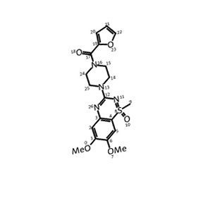 COc1cc2c(cc1OC)S(C)(=O)=NC(N1CCN(C(=O)c3ccco3)CC1)=N2